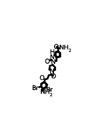 NC(=O)c1ccc2c(c1)NC(=O)N(C1CCN(C(=O)CCC(=O)c3cc(Br)c(N)c(Br)c3)CC1)C2